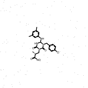 Cc1cc(C)cc(NC2NC(=O)N(C[C@H](C)C(=O)N=O)C(=O)N2Cc2ccc(Cl)cc2)c1